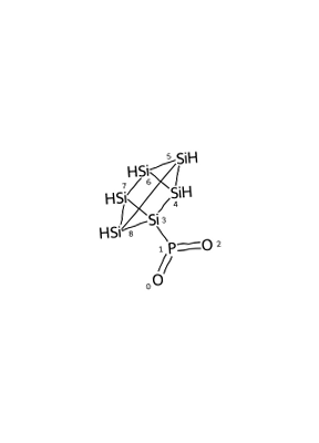 O=P(=O)[Si]12[SiH]3[SiH]4[SiH]3[SiH]1[SiH]42